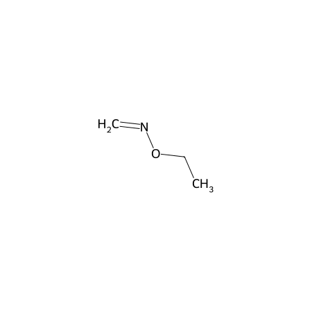 C=NOCC